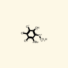 CCCCc1c(Cl)c(Cl)c(Cl)c(O)c1OC(=O)O